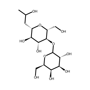 CC(O)C[C@@H]1O[C@H](CO)[C@@H](OC2O[C@H](CO)[C@H](O)[C@H](O)[C@H]2O)[C@H](O)[C@H]1O